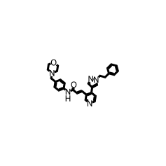 O=C(C=Cc1cnccc1-c1cnn(CCc2ccccc2)c1)Nc1ccc(CN2CCOCC2)cc1